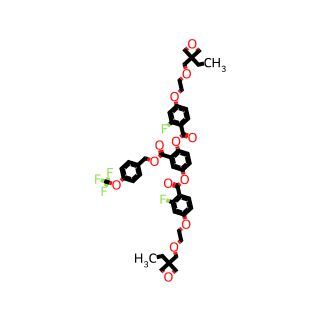 CCC1(COCCOc2ccc(C(=O)Oc3ccc(OC(=O)c4ccc(OCCOCC5(CC)COC5)cc4F)c(C(=O)OCc4ccc(OC(F)(F)F)cc4)c3)c(F)c2)COC1